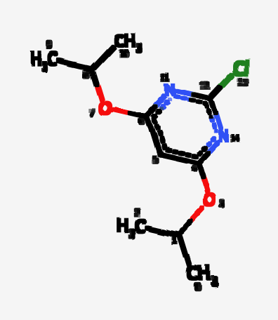 CC(C)Oc1cc(OC(C)C)nc(Cl)n1